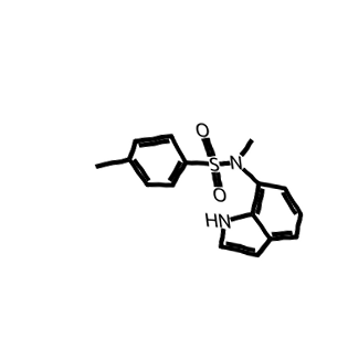 Cc1ccc(S(=O)(=O)N(C)c2cccc3cc[nH]c23)cc1